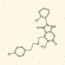 Cn1c(COCCc2ccc(Cl)cc2)c2c(=O)n(-c3ccccc3Cl)[nH]c2cc1=O